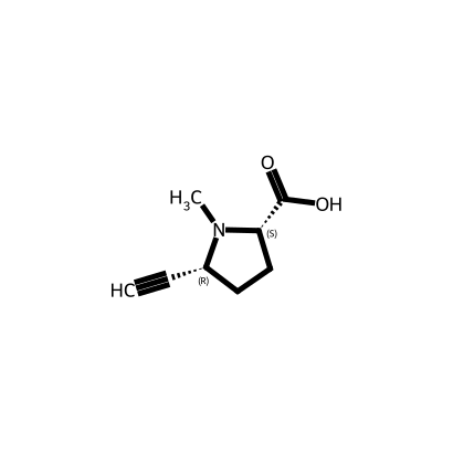 C#C[C@H]1CC[C@@H](C(=O)O)N1C